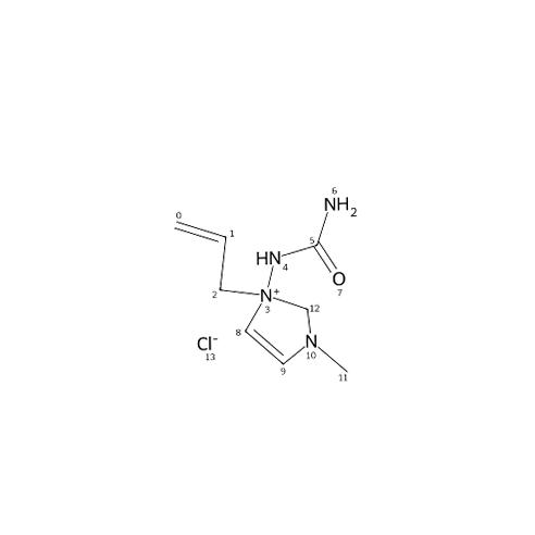 C=CC[N+]1(NC(N)=O)C=CN(C)C1.[Cl-]